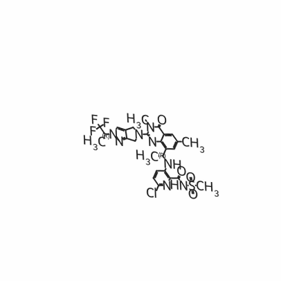 Cc1cc([C@@H](C)Nc2ccc(Cl)nc2C(=O)NS(C)(=O)=O)c2nc(N3Cc4cn([C@H](C)C(F)(F)F)nc4C3)n(C)c(=O)c2c1